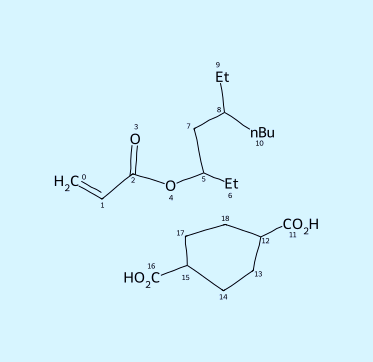 C=CC(=O)OC(CC)CC(CC)CCCC.O=C(O)C1CCC(C(=O)O)CC1